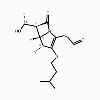 CC(C)CCSC1=C(OC=O)N2C(=O)[C@H]([C@@H](C)O)[C@H]2[C@H]1C